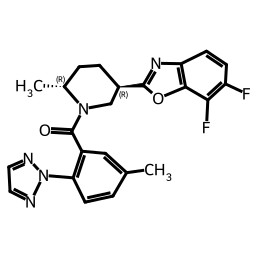 Cc1ccc(-n2nccn2)c(C(=O)N2C[C@H](c3nc4ccc(F)c(F)c4o3)CC[C@H]2C)c1